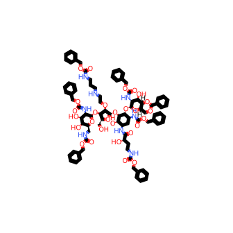 O=C(NCCCNCCO[C@H]1[C@H](O[C@@H]2[C@@H](O)[C@H](NC(=O)[C@@H](O)CCNC(=O)OCc3ccccc3)C[C@H](NC(=O)OCc3ccccc3)[C@H]2O[C@H]2O[C@@H]3COC(c4ccccc4)O[C@H]3[C@H](O)[C@H]2NC(=O)OCc2ccccc2)O[C@H](CO)[C@H]1O[C@H]1O[C@@H](CNC(=O)OCc2ccccc2)[C@@H](O)[C@H](O)[C@H]1NC(=O)OCc1ccccc1)OCc1ccccc1